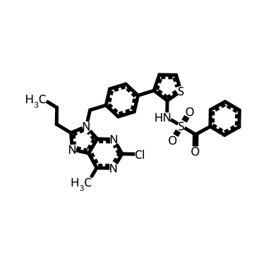 CCCc1nc2c(C)nc(Cl)nc2n1Cc1ccc(-c2ccsc2NS(=O)(=O)C(=O)c2ccccc2)cc1